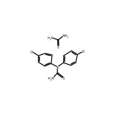 NC(=S)N(c1ccc(Cl)cc1)c1ccc(Cl)cc1.NC(N)=S